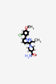 CCc1nn2c(-c3ccc(OC)cc3Cl)cccc2c1N1CC=C(C(N)=O)CC1